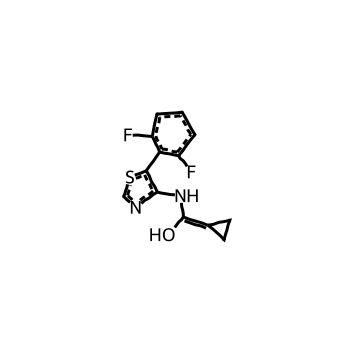 OC(Nc1ncsc1-c1c(F)cccc1F)=C1CC1